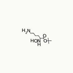 CC(C)(C)OC(=O)C(CCCCN)NO